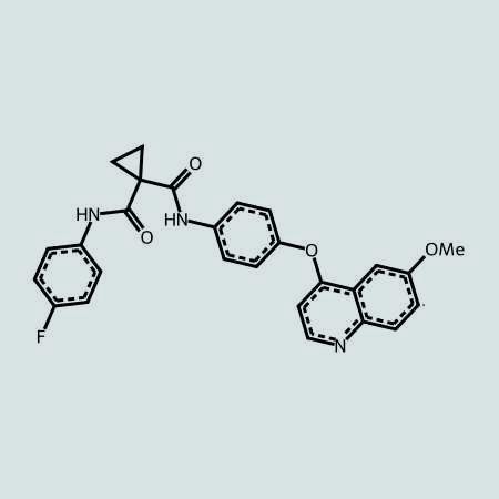 COc1[c]cc2nccc(Oc3ccc(NC(=O)C4(C(=O)Nc5ccc(F)cc5)CC4)cc3)c2c1